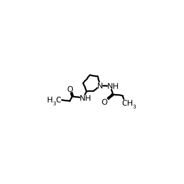 CCC(=O)NC1CCCN(NC(=O)CC)C1